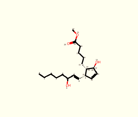 CCCCCC(O)C=C[C@H]1C=C[C@H](O)[C@H]1CCCCC(=O)OC